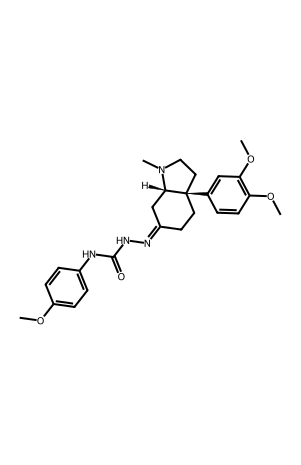 COc1ccc(NC(=O)NN=C2CC[C@@]3(c4ccc(OC)c(OC)c4)CCN(C)[C@H]3C2)cc1